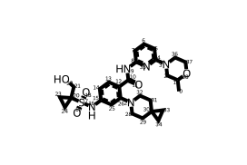 CC1CN(c2cccc(NC(=O)c3ccc(NS(=O)(=O)C4(CO)CC4)cc3N3CCC4(CC3)CC4)n2)CCO1